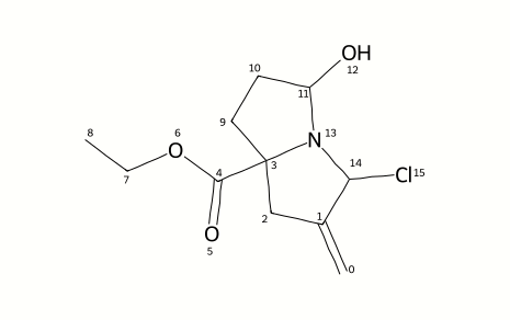 C=C1CC2(C(=O)OCC)CCC(O)N2C1Cl